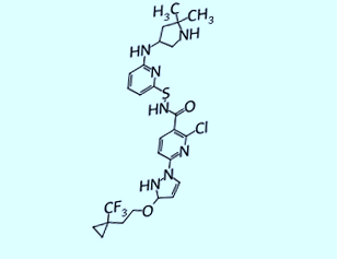 CC1(C)CC(Nc2cccc(SNC(=O)c3ccc(N4C=CC(OCCC5(C(F)(F)F)CC5)N4)nc3Cl)n2)CN1